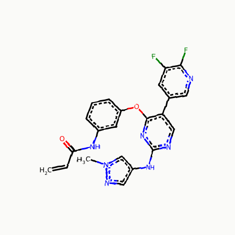 C=CC(=O)Nc1cccc(Oc2nc(Nc3cnn(C)c3)ncc2-c2cnc(F)c(F)c2)c1